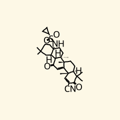 CC1(C)CC[C@]2(NS(=O)(=O)C3CC3)CC[C@]3(C)[C@H](C(=O)C=C4[C@@]5(C)C=C(C#N)C(=O)C(C)(C)[C@@H]5CC[C@]43C)[C@H]2C1